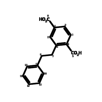 O=C(O)c1ccc(C(=O)O)c(CCc2ccccc2)c1